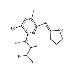 Cc1cc(F)c(N=C2NCCS2)cc1[S+]([O-])C(F)C(F)F